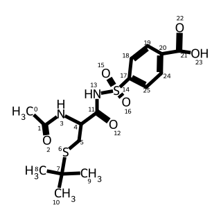 CC(=O)NC(CSC(C)(C)C)C(=O)NS(=O)(=O)c1ccc(C(=O)O)cc1